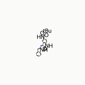 CC(C)(C)OC(=O)Nc1ccc2c(c1)/C(=C/c1cc3ccccc3[nH]1)C(=O)N2